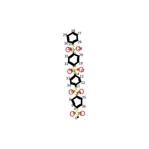 CS(=O)(=O)c1ccc(S(=O)(=O)c2ccc(S(=O)(=O)c3ccc(S(=O)(=O)c4ccccc4)cc3)cc2)cc1